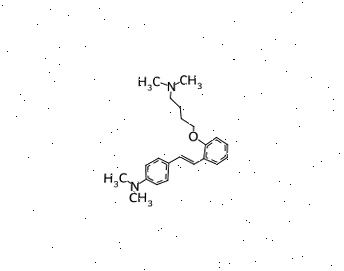 CN(C)CCCCOc1ccccc1C=Cc1ccc(N(C)C)cc1